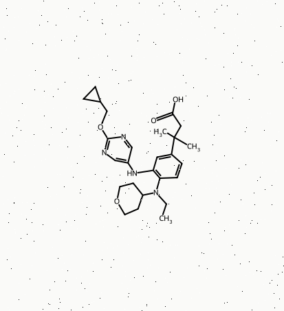 CCN(c1ccc(C(C)(C)CC(=O)O)cc1Nc1cnc(OCC2CC2)nc1)C1CCOCC1